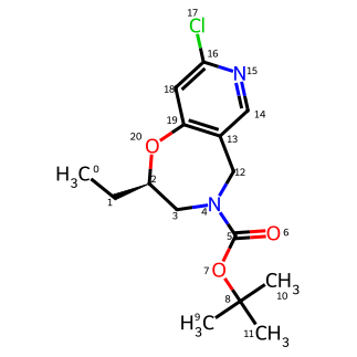 CC[C@@H]1CN(C(=O)OC(C)(C)C)Cc2cnc(Cl)cc2O1